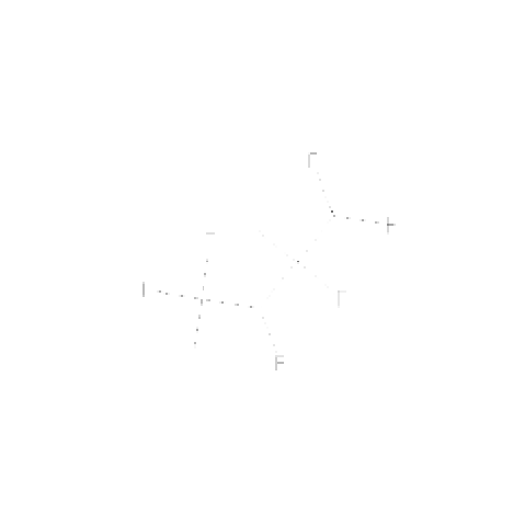 CCC(F)(F)C(F)C(F)(F)[C](F)F